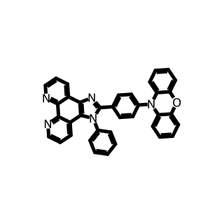 c1ccc(-n2c(-c3ccc(N4c5ccccc5Oc5ccccc54)cc3)nc3c4cccnc4c4ncccc4c32)cc1